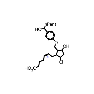 CCCCCC(O)c1ccc(OCC2C(O)CC(Cl)C2C/C=C\CCCC(=O)O)cc1